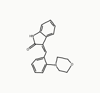 O=C1Nc2ccccc2/C1=C/c1ccccc1N1CCOCC1